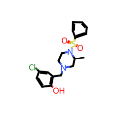 C[C@H]1CN(Cc2cc(Cl)ccc2O)CCN1S(=O)(=O)c1ccccc1